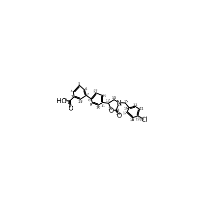 O=C(O)c1cccc(-c2ccc(C3CN(Cc4ccc(Cl)cc4)C(=O)O3)cc2)c1